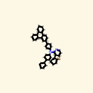 c1ccc(-c2ccc(N(c3ccc(-c4ccc5c6ccccc6c6ccccc6c5c4)cc3)c3nccc4sc5ccccc5c34)cc2)cc1